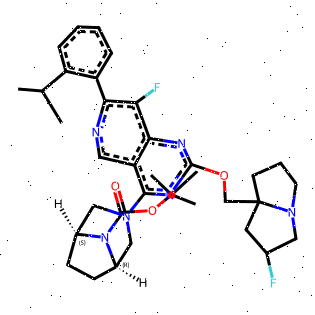 CC(C)c1ccccc1-c1ncc2c(N3C[C@H]4CC[C@@H](C3)N4C(=O)OC(C)(C)C)nc(OCC34CCCN3CC(F)C4)nc2c1F